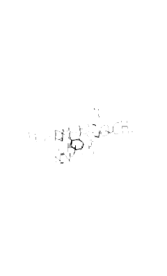 CCOc1cc(CN2CCc3c(cc(Cn4ccnc4C)cc3-n3nc(C)nc3C)C2=O)ncc1C#N